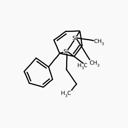 CCC[Si]1(C)C2(c3ccccc3)C=CC(C=C2)[Si]1(C)C